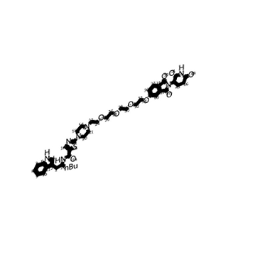 CCCCC(Cc1c[nH]c2ccccc12)NC(=O)c1cnc(N2CCN(CCOCCOCCOCCOc3ccc4c(c3)C(=O)N(C3CCC(=O)NC3=O)C4=O)CC2)s1